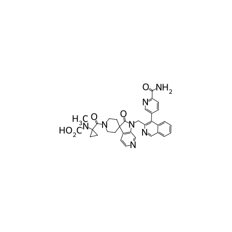 CN(C(=O)O)C1(C(=O)N2CCC3(CC2)C(=O)N(Cc2ncc4ccccc4c2-c2ccc(C(N)=O)nc2)c2cnccc23)CC1